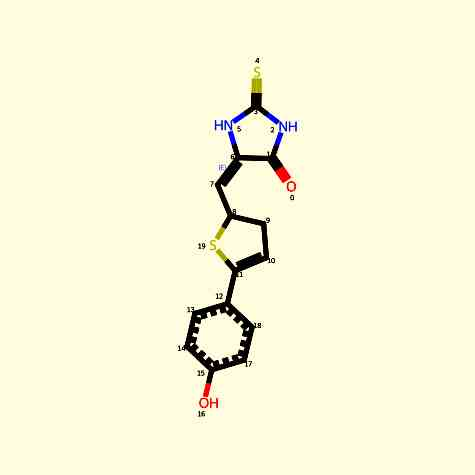 O=C1NC(=S)N/C1=C/C1CC=C(c2ccc(O)cc2)S1